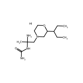 CCC(CC)C1CN(CC(C)(N)NC(N)=O)CCO1.I